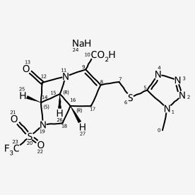 Cn1nnnc1SCC1=C(C(=O)O)N2C(=O)[C@@H]3[C@H]2[C@H](C1)CN3S(=O)(=O)C(F)(F)F.[NaH]